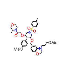 COCCCN1CCOc2ccc(CO[C@H]3CN(S(=O)(=O)c4ccc(C)cc4)C[C@@H](OCC(=O)N4CCOC[C@@H]4C)[C@@H]3c3ccc(OC)cc3)cc21